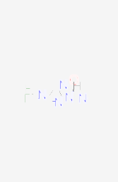 CC(C)N1CCN2c3ncc(N4CC(F)(F)C4)cc3N(C)C(=O)[C@@H]2C1